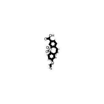 O=C(O)c1ccc2c(c1)S(=O)(=O)c1ccc(OC=S)cc1C=C2